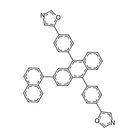 c1ccc2c(-c3ccc4c(-c5ccc(-c6cnco6)cc5)c5ccccc5c(-c5ccc(-c6cnco6)cc5)c4c3)cccc2c1